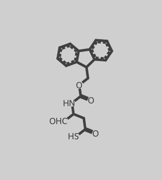 O=CC(CC(=O)S)NC(=O)OCC1c2ccccc2-c2ccccc21